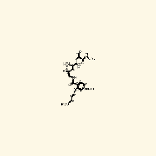 CCCCNC(=O)C(CC(O)C(N)CC(CNC(=O)c1ccc(OC)cc1OCCCOC)C(C)C)C(C)C